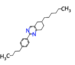 CCCCCCC1CCc2nc(-c3ccc(CCCC)cc3)ncc2C1